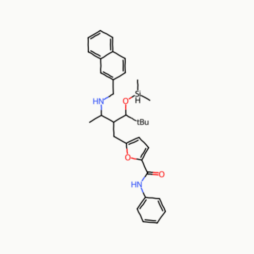 CC(NCc1ccc2ccccc2c1)C(Cc1ccc(C(=O)Nc2ccccc2)o1)C(O[SiH](C)C)C(C)(C)C